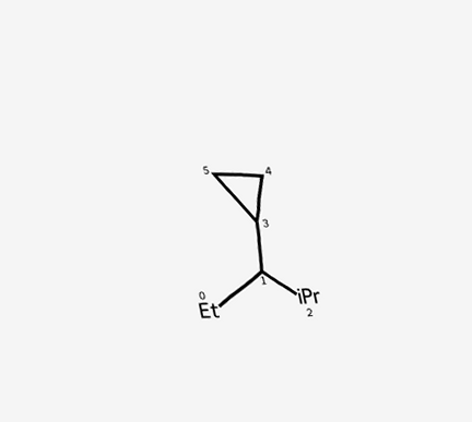 [CH2]CC(C(C)C)C1CC1